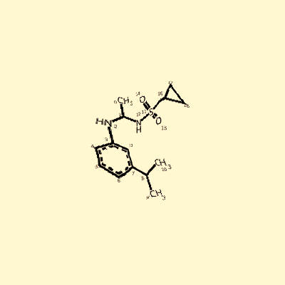 CC(Nc1cccc(C(C)C)c1)NS(=O)(=O)C1CC1